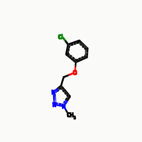 Cn1cc(COc2cccc(Cl)c2)nn1